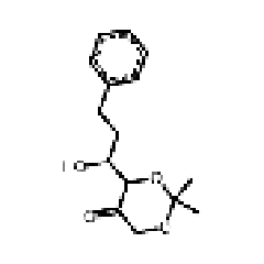 CC1(C)OCC(=O)C([C@@H](O)CCc2ccccc2)O1